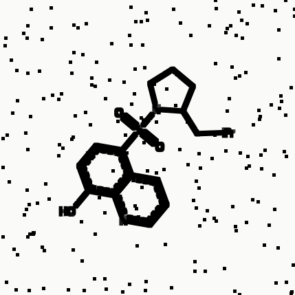 CC(C)CC1CCCN1S(=O)(=O)c1ccc(O)c2ncccc12